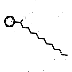 CCCCCCCCCCCCC(Cl)c1ccccc1